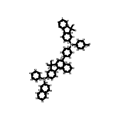 CC1(C)c2ccccc2-c2ccc(N(c3ccc(F)cc3)c3ccc(-c4cc5c(c6ccccc46)-c4ccc(N(c6ccccc6)c6ccc7ccccc7c6)cc4C5(C)C)cc3)cc21